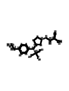 NNc1ccc([C@H](N2CC[C@H](CNC(=O)O)C2)C(F)(F)F)cn1